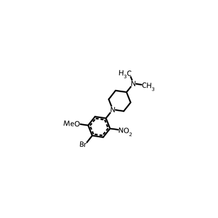 COc1cc(N2CCC(N(C)C)CC2)c([N+](=O)[O-])cc1Br